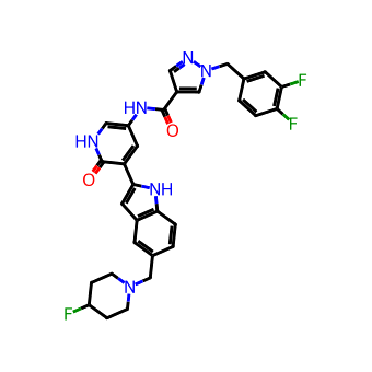 O=C(Nc1c[nH]c(=O)c(-c2cc3cc(CN4CCC(F)CC4)ccc3[nH]2)c1)c1cnn(Cc2ccc(F)c(F)c2)c1